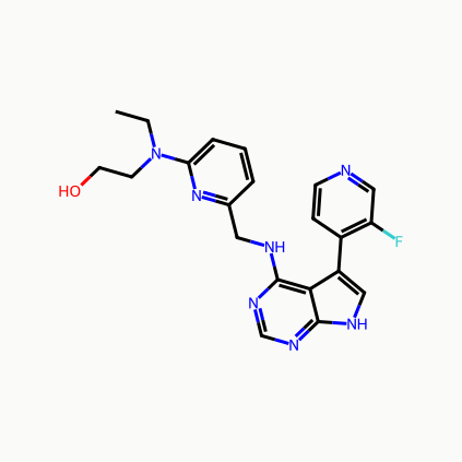 CCN(CCO)c1cccc(CNc2ncnc3[nH]cc(-c4ccncc4F)c23)n1